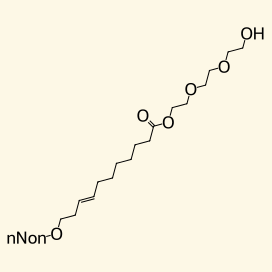 CCCCCCCCCOCC/C=C/CCCCCCC(=O)OCCOCCOCCO